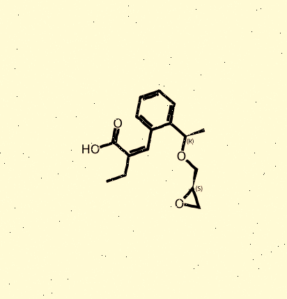 CCC(=Cc1ccccc1[C@@H](C)OC[C@H]1CO1)C(=O)O